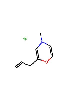 C=CCC1=CN(C)C=CO1.F